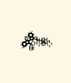 CC=C1C(C2C=C(OCCO[Si](C)(C)C)c3ccccc32)=[C]([Zr+2])c2ccccc21.[Cl-].[Cl-]